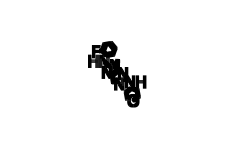 Cn1c(Nc2ccccc2F)nc2cnc(NC3CCOCC3)nc21